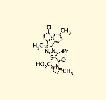 Cc1ccc(C2N3C(=N[C@@]2(C)c2ccc(Cl)cc2)SC(C(=O)N2[C@H](C)CC[C@H]2C(=O)O)=C3C(C)C)cc1